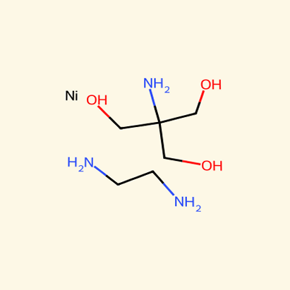 NC(CO)(CO)CO.NCCN.[Ni]